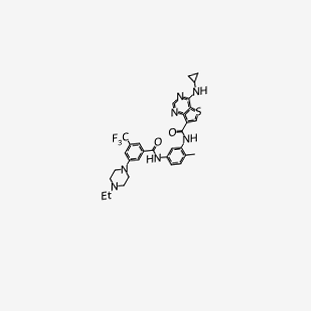 CCN1CCN(c2cc(C(=O)Nc3ccc(C)c(NC(=O)c4csc5c(NC6CC6)ncnc45)c3)cc(C(F)(F)F)c2)CC1